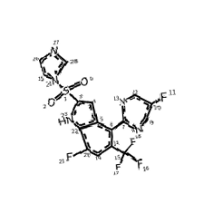 O=S(=O)(c1cc2c(-c3ncc(F)cn3)c(C(F)(F)F)cc(F)c2[nH]1)n1ccnc1